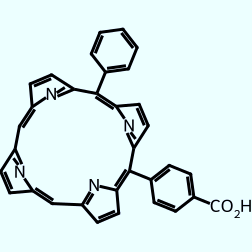 O=C(O)c1ccc(C2=C3C=CC(=N3)C=C3C=CC(=N3)C=C3C=CC(=N3)C(c3ccccc3)=C3C=CC2=N3)cc1